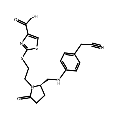 N#CCc1ccc(NC[C@H]2CCC(=O)N2CCSc2nc(C(=O)O)cs2)cc1